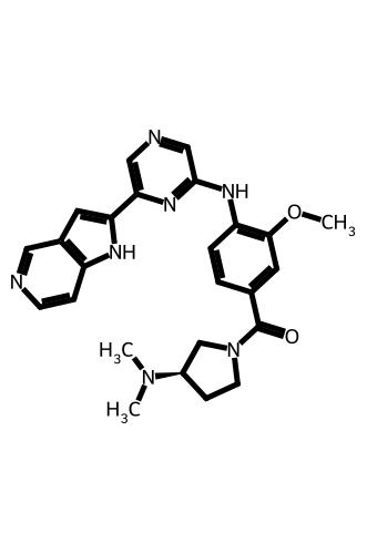 COc1cc(C(=O)N2CC[C@@H](N(C)C)C2)ccc1Nc1cncc(-c2cc3cnccc3[nH]2)n1